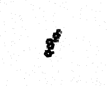 Cc1cccnc1-c1ccc2c(Nc3ncc(C(F)(F)F)cn3)ccnc2n1